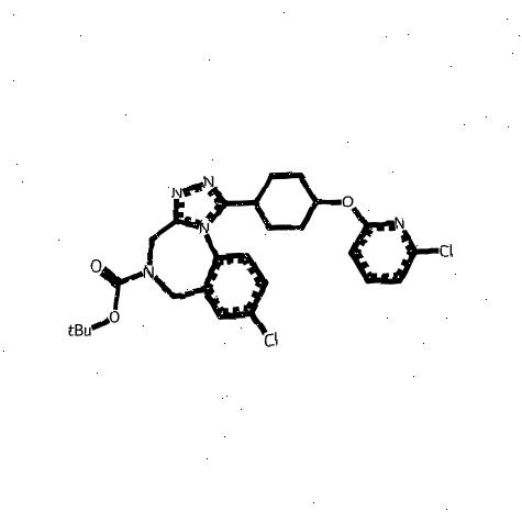 CC(C)(C)OC(=O)N1Cc2cc(Cl)ccc2-n2c(nnc2C2CCC(Oc3cccc(Cl)n3)CC2)C1